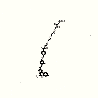 CNOCC(=O)NCCCOCCOCCOCCCNC(=O)c1ccc(COc2ccc(CCc3cnc4c(N)nc5cc(C)ccc5c4c3)c(C)c2)cc1